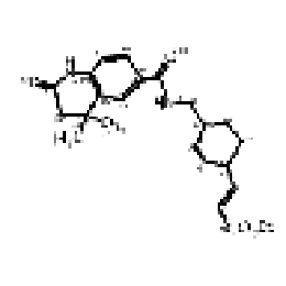 CCOC(=O)C=CC1CCC(CNC(=O)c2ccc3c(c2)C(C)(C)CC(=O)N3)CC1